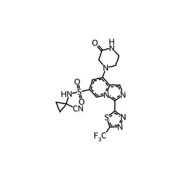 N#CC1(NS(=O)(=O)c2cc(N3CCNC(=O)C3)c3cnc(-c4nnc(C(F)(F)F)s4)n3c2)CC1